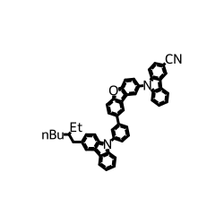 CCCCC(CC)Cc1ccc2c(c1)c1ccccc1n2-c1cccc(-c2ccc3oc4ccc(-n5c6ccccc6c6cc(C#N)ccc65)cc4c3c2)c1